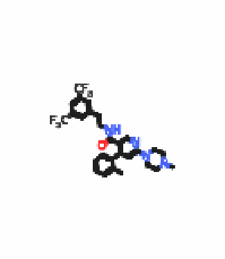 Cc1ccccc1-c1cc(N2CCN(C)CC2)ncc1C(=O)NCCc1cc(C(F)(F)F)cc(C(F)(F)F)c1